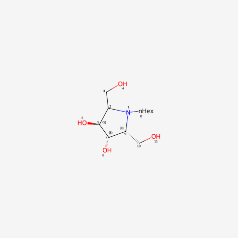 CCCCCCN1C(CO)[C@H](O)[C@@H](O)[C@H]1CO